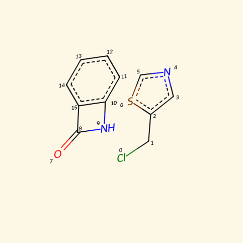 ClCc1cncs1.O=C1Nc2ccccc21